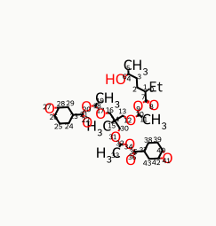 CCC(CCC(C)O)C(=O)OC(C)OCC(C)(COC(C)OC(=O)C1CCC2OC2C1)COC(C)OC(=O)C1CCC2OC2C1